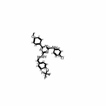 COc1ccc(-c2nc(N/N=C\c3ccc(OC(F)(F)F)cc3)nc(Nc3ccc(Cl)cc3)n2)cc1